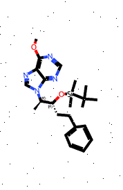 COc1ncnc2c1ncn2[C@H](C)[C@@H](CCc1ccccc1)O[Si](C)(C)C(C)(C)C